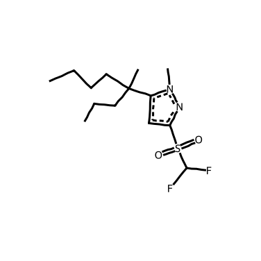 CCCCC(C)(CCC)c1cc(S(=O)(=O)C(F)F)nn1C